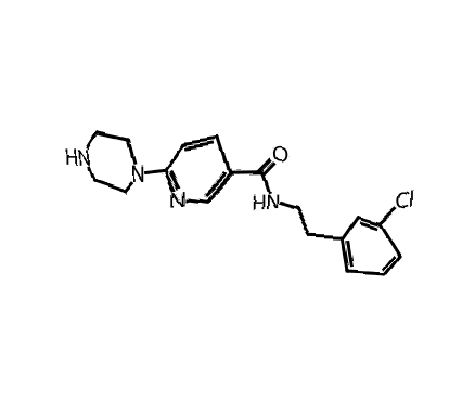 O=C(NCCc1cccc(Cl)c1)c1ccc(N2CCNCC2)nc1